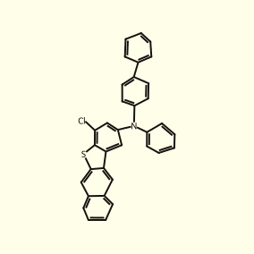 Clc1cc(N(c2ccccc2)c2ccc(-c3ccccc3)cc2)cc2c1sc1cc3ccccc3cc12